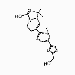 CC(C)(C)C1C=C(c2ncc(-c3cnc(CO)o3)cc2Cl)CCN1C(=O)O